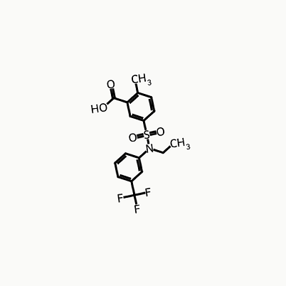 CCN(c1cccc(C(F)(F)F)c1)S(=O)(=O)c1ccc(C)c(C(=O)O)c1